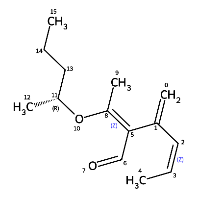 C=C(/C=C\C)/C(C=O)=C(\C)O[C@H](C)CCC